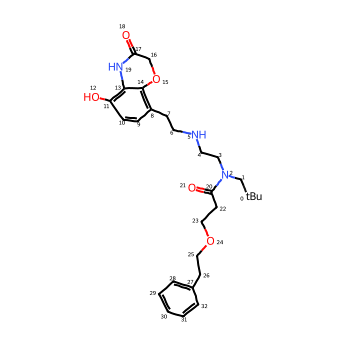 CC(C)(C)CN(CCNCCc1ccc(O)c2c1OCC(=O)N2)C(=O)CCOCCc1ccccc1